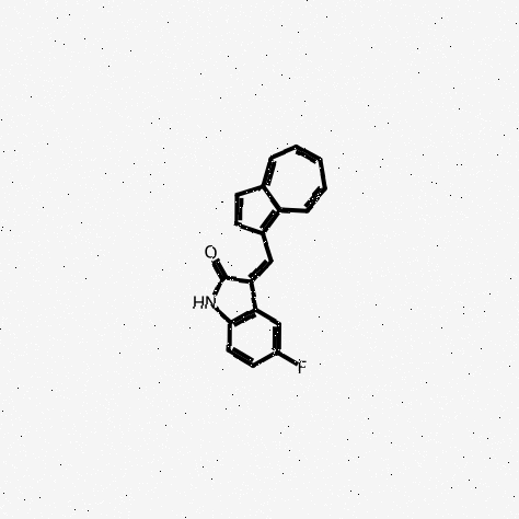 O=C1Nc2ccc(F)cc2/C1=C/c1ccc2cccccc1-2